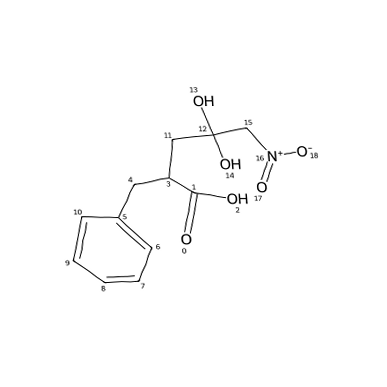 O=C(O)C(Cc1ccccc1)CC(O)(O)C[N+](=O)[O-]